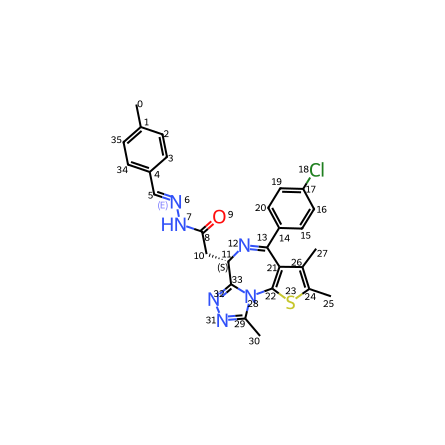 Cc1ccc(/C=N/NC(=O)C[C@@H]2N=C(c3ccc(Cl)cc3)c3c(sc(C)c3C)-n3c(C)nnc32)cc1